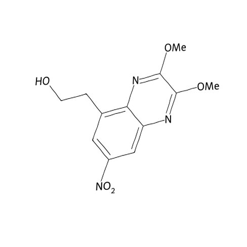 COc1nc2cc([N+](=O)[O-])cc(CCO)c2nc1OC